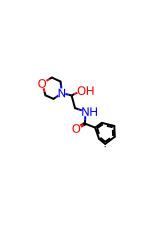 O=C(NCC(O)N1CCOCC1)c1c[c]ccc1